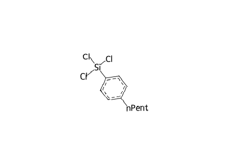 CCCCCc1ccc([Si](Cl)(Cl)Cl)cc1